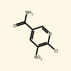 NC(=O)c1cnc(Cl)c([N+](=O)[O-])c1